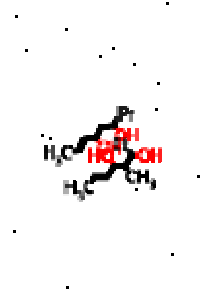 CC=CC(O)C(C)C(O)CC.CC=CC(O)CC(O)C(C)C